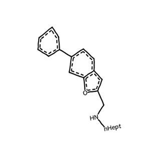 CCCCCCCNCc1cc2ccc(-c3ccccc3)cc2o1